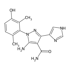 Cc1ccc(O)c(C)c1-n1nc(-c2c[nH]cn2)c(C(N)=O)c1N